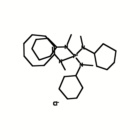 CN(C1=CCCCCCC1)[P+](N(C)C1CCCCC1)(N(C)C1CCCCC1)N(C)C1CCCCC1.[Cl-]